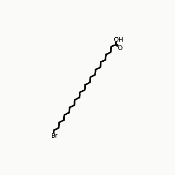 O=C(O)CCCCCCCCCCCCCCCCCCCCCCCBr